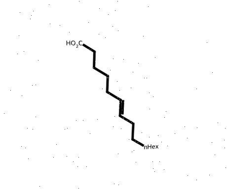 CCCCCCCCC=CCCCCC(=O)O